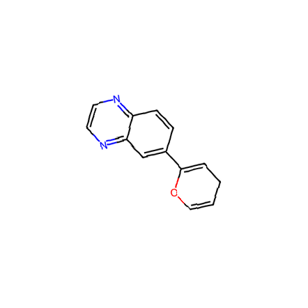 C1=COC(c2ccc3nccnc3c2)=CC1